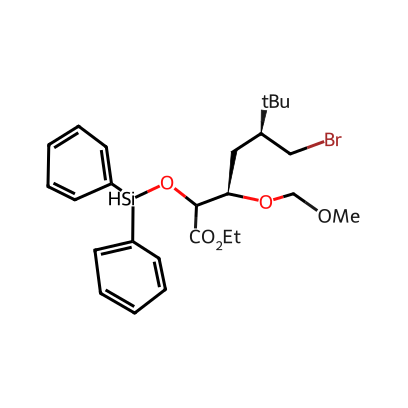 CCOC(=O)C(O[SiH](c1ccccc1)c1ccccc1)[C@@H](C[C@H](CBr)C(C)(C)C)OCOC